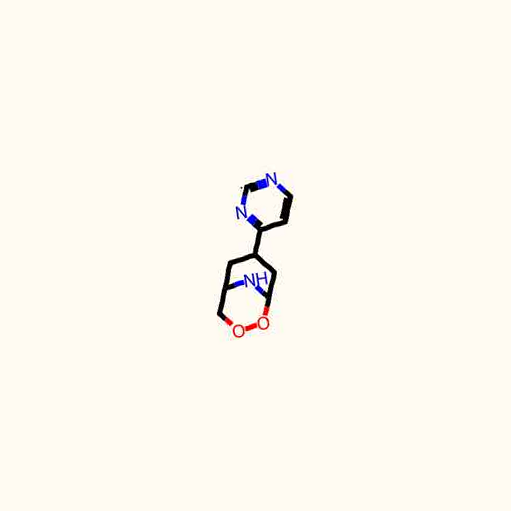 [c]1nccc(C2CC3COOC(C2)N3)n1